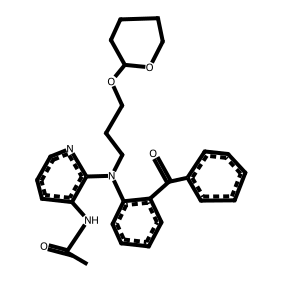 CC(=O)Nc1cccnc1N(CCCOC1CCCCO1)c1ccccc1C(=O)c1ccccc1